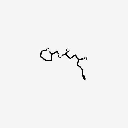 C=CCCC(CC)CCC(=O)OCC1CCCCO1